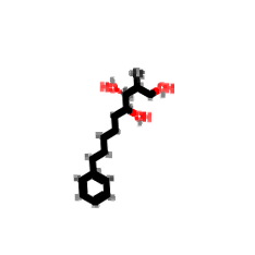 CCC(CO)[C@@H](O)C(O)CCCCCc1ccccc1